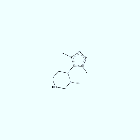 Cc1noc(C)c1C1CCNCC1C